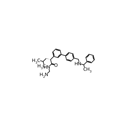 CC(C)C[C@@H](C(=O)NCN)c1cccc(-c2ccc(CNC(C)c3ccccc3)cc2)c1